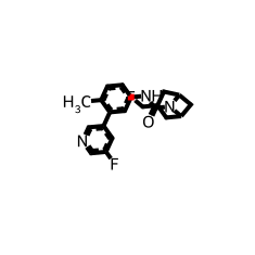 Cc1ccc(NC(=O)N2C3CC(CF)CC2C3)cc1-c1cncc(F)c1